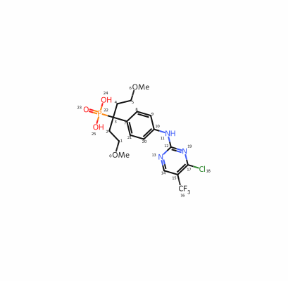 COCCC(CCOC)(c1ccc(Nc2ncc(C(F)(F)F)c(Cl)n2)cc1)P(=O)(O)O